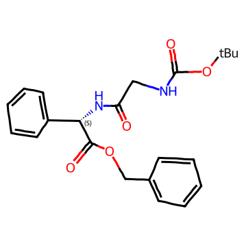 CC(C)(C)OC(=O)NCC(=O)N[C@H](C(=O)OCc1ccccc1)c1ccccc1